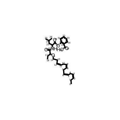 CC/C=C\C/C=C\C/C=C\C/C=C\CCOC(CC)C(=O)NC(CC(C)C)C(=O)Oc1ccccc1C(=O)O